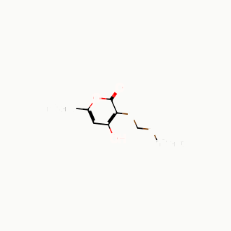 CCCCCSCSc1c(O)cc(CCCCC)oc1=O